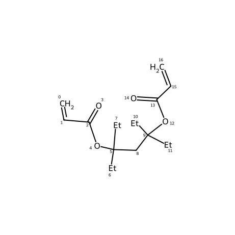 C=CC(=O)OC(CC)(CC)CC(CC)(CC)OC(=O)C=C